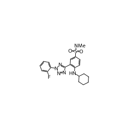 CNS(=O)(=O)c1ccc(NC2CCCCC2)c(-c2nnn(-c3ccccc3F)n2)c1